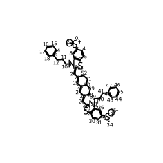 C[S+]([O-])c1ccc2c(c1)N(CCCc1ccccc1)/C(=C/C1=CC3=C/C(=C/c4sc5ccc([S+](C)[O-])cc5[n+]4CCCc4ccccc4)CCC3CC1)S2